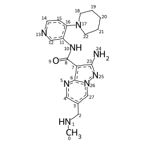 CNCc1cnc2c(C(=O)Nc3cnccc3N3CCCCC3)c(N)nn2c1